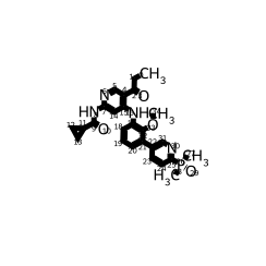 CCC(=O)c1cnc(NC(=O)C2CC2)cc1Nc1cccc(-c2ccc(P(C)(C)=O)nc2)c1OC